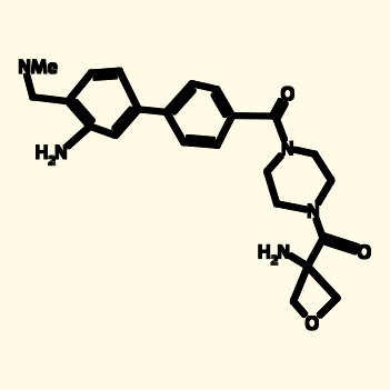 CNCc1ccc(-c2ccc(C(=O)N3CCN(C(=O)C4(N)COC4)CC3)cc2)cc1N